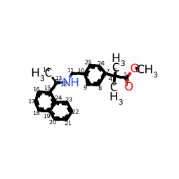 COC(=O)C(C)(C)c1ccc(CN[C@H](C)c2cccc3ccccc23)cc1